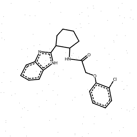 O=C(COc1ccccc1Cl)NC1CCCCC1c1nc2ccccc2[nH]1